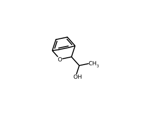 CC(O)C1Oc2ccc1cc2